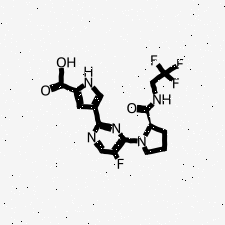 O=C(O)c1cc(-c2ncc(F)c(N3CCC[C@@H]3C(=O)NCC(F)(F)F)n2)c[nH]1